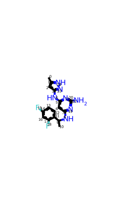 Cc1cc(Nc2cc(NC(C)c3ccc(F)cc3F)nc(N)n2)n[nH]1